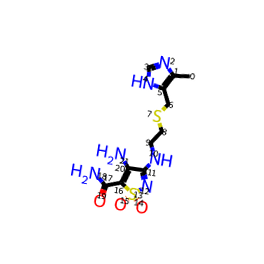 Cc1nc[nH]c1CSCCNC1=NS(=O)(=O)C(C(N)=O)=C1N